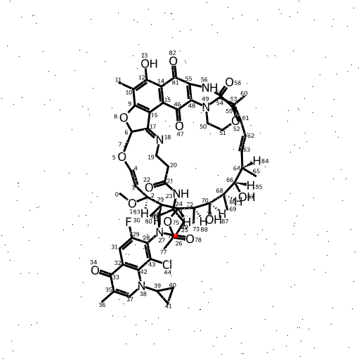 CO[C@H]1/C=C/O[C@@]2(C)Oc3c(C)c(O)c4c(c3/C2=N/CCC(=O)NC2CCN(c3c(F)cc5c(=O)c(C)cn(C6CC6)c5c3Cl)C2)C(=O)C(N2CCOCC2)=C(NC(=O)/C(C)=C\C=C\[C@H](C)[C@H](O)[C@@H](C)[C@@H](O)[C@@H](C)[C@H](OC(C)=O)[C@@H]1C)C4=O